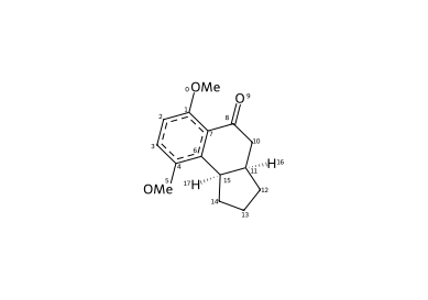 COc1ccc(OC)c2c1C(=O)C[C@H]1CCC[C@@H]21